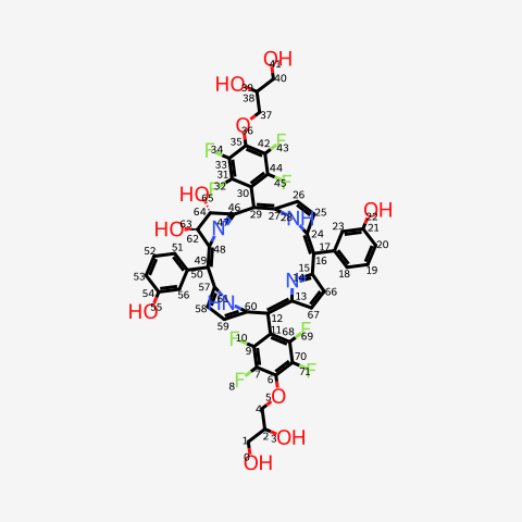 OCC(O)COc1c(F)c(F)c(-c2c3nc(c(-c4cccc(O)c4)c4ccc([nH]4)c(-c4c(F)c(F)c(OCC(O)CO)c(F)c4F)c4nc(c(-c5cccc(O)c5)c5ccc2[nH]5)[C@@H](O)[C@@H]4O)C=C3)c(F)c1F